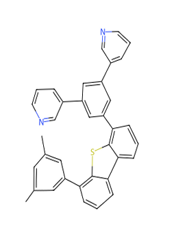 Cc1cc(C)cc(-c2cccc3c2sc2c(-c4cc(-c5cccnc5)cc(-c5cccnc5)c4)cccc23)c1